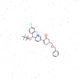 CC(C)(C)[Si](C)(C)OC(c1ccc(C2=CCC(COCc3ccccc3)CC2=O)cn1)c1ccc(F)cc1F